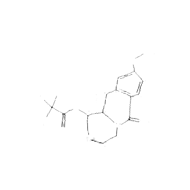 COc1ccc2c(c1)C[C@@H]1C(OC(=O)C(F)(F)F)NCCN1C2=O